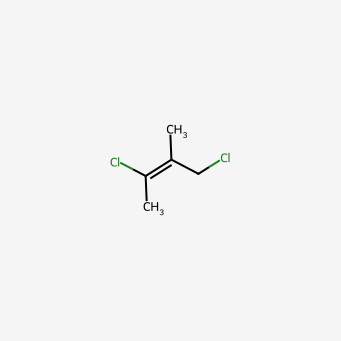 CC(Cl)=C(C)CCl